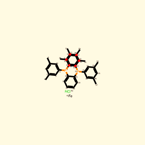 Cc1cc(C)cc(P(c2cc(C)cc(C)c2)c2ccccc2P(c2cc(C)cc(C)c2)c2cc(C)cc(C)c2)c1.Cl.[Fe]